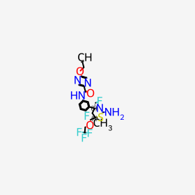 C#CCOc1cnc(C(=O)Nc2ccc(F)c([C@]3(CF)C[C@](C)(COCC(F)(F)F)SC(N)=N3)c2)cn1